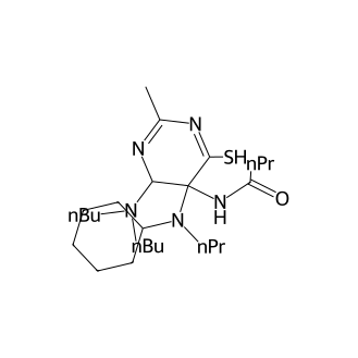 CCCCN(CCCC)C1N=C(C)N=C(S)C1(NC(=O)CCC)N(CCC)C1CCCCC1